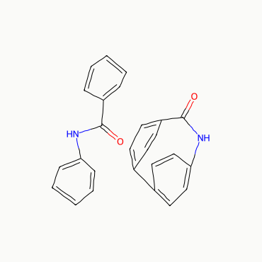 O=C(Nc1ccccc1)c1ccccc1.O=c1[nH]c2ccc(cc2)c2ccc1cc2